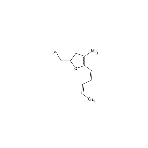 C/C=C\C=C/C1=C(N)CC(CC(C)C)O1